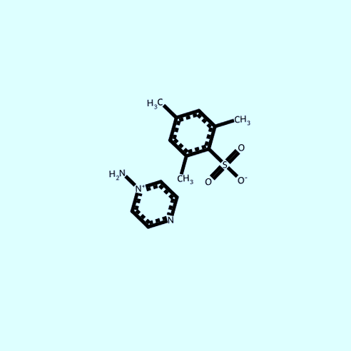 Cc1cc(C)c(S(=O)(=O)[O-])c(C)c1.N[n+]1ccncc1